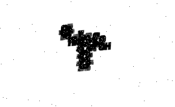 O=C(O)c1cn2c3c(c(NCCN4CCOCC4)c(F)cc3c1=O)Oc1cc3ccccc3cc1-2